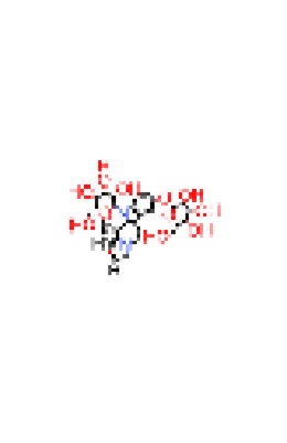 CC[C@H]1C[C@H]2C[C@H]3c4c(c5cc(O[C@H]6OC(CO)[C@@H](O)C(O)[C@H]6O)ccc5n4[C@H]4O[C@@H](CO)[C@@H](O)[C@H](O)C4O)CCN(C2)C13